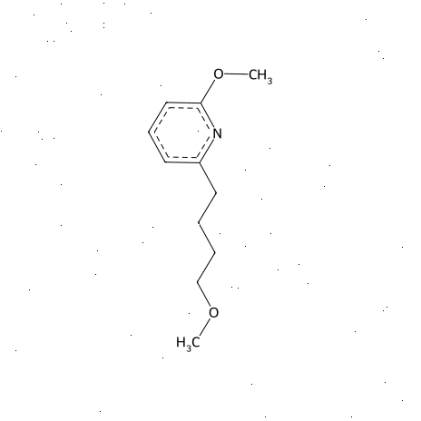 COCCCCc1cccc(OC)n1